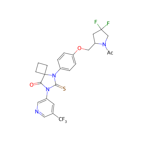 CC(=O)N1CC(F)(F)CC1COc1ccc(N2C(=S)N(c3cncc(C(F)(F)F)c3)C(=O)C23CCC3)cc1